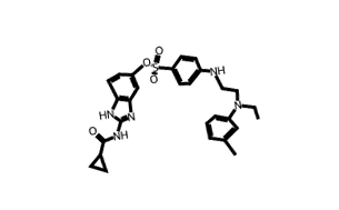 CCN(CCNc1ccc(S(=O)(=O)Oc2ccc3[nH]c(NC(=O)C4CC4)nc3c2)cc1)c1cccc(C)c1